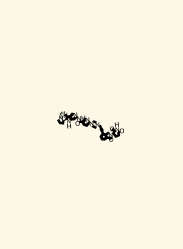 CN1CCC[C@@H]1c1[nH]c2cc(NC(=O)c3ccc(N4CCN(CC#Cc5cccc6c5CN(C5CCC(=O)NC5=O)C6=O)CC4)nc3)ncc2c1Cl